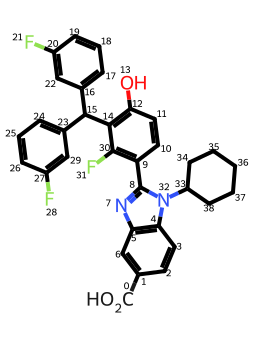 O=C(O)c1ccc2c(c1)nc(-c1ccc(O)c(C(c3cccc(F)c3)c3cccc(F)c3)c1F)n2C1CCCCC1